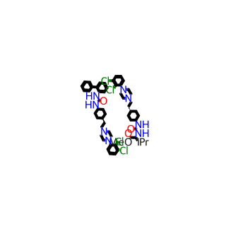 COC(=O)C(NC(=O)N[C@H]1CC[C@H](CCN2CCN(c3cccc(Cl)c3Cl)CC2)CC1)C(C)C.O=C(Nc1ccccc1-c1ccccc1)N[C@H]1CC[C@H](CCN2CCN(c3cccc(Cl)c3Cl)CC2)CC1